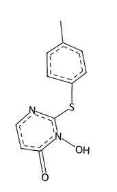 Cc1ccc(Sc2nccc(=O)n2O)cc1